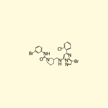 O=C(Nc1cccc(Br)c1)N1CCCC(CNc2cc(-c3ccccc3Cl)nc3c(Br)cnn23)C1